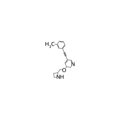 Cc1cccc(C#CC2=CC(OCC3CCN3)CN=C2)c1